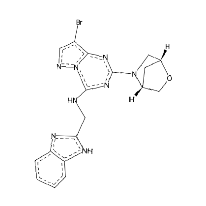 Brc1cnn2c(NCc3nc4ccccc4[nH]3)nc(N3C[C@H]4C[C@@H]3CO4)nc12